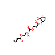 C=CC(=O)OCCNC(=O)OCCC(=O)OC1CCOC1=O